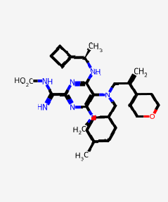 C=Nc1nc(C(=N)NC(=O)O)nc(N[C@H](C)C2CCC2)c1N(CC(=C)C1CCOCC1)CC1CCC(C)CC1